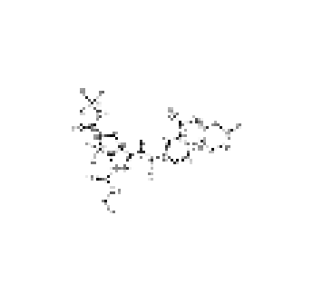 CCOC(=O)n1nc(NC(=O)c2ccc(N3CCN(C)CC3)c([N+](=O)[O-])c2)c2c1C(C)(C)N(C(=O)OC(C)(C)C)C2